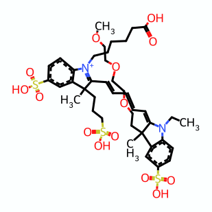 CCN1/C(=C/C=C/C=C/C2=[N+](CCCCCC(=O)O)c3ccc(S(=O)(=O)O)cc3C2(C)CCCS(=O)(=O)O)C(C)(CCOCCOCCOC)c2cc(S(=O)(=O)O)ccc21